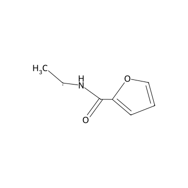 C[CH]NC(=O)c1ccco1